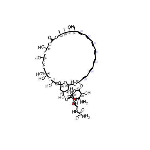 C[C@@H]1[C@H](O)[C@@H](C)/C=C/C=C/C=C/C=C/C=C/C=C/C=C/[C@H](O[C@@H]2O[C@H](C)[C@@H](O)[C@H](N)[C@@H]2O)C[C@@H]2O[C@](O)(C[C@@H](O)C[C@@H](O)[C@H](O)CC[C@@H](O)C[C@@H](O)CC(=O)O[C@H]1C)C[C@H](O)[C@H]2NC(=O)NCCNS(N)(=O)=O